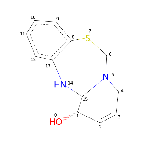 O[C@H]1C=CCN2CSc3ccccc3NC12